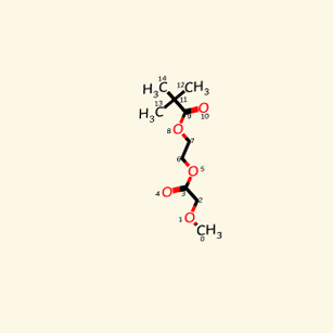 COCC(=O)OCCOC(=O)C(C)(C)C